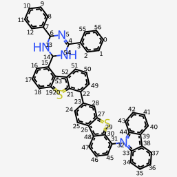 c1ccc(C2=NC(c3ccccc3)NC(c3cccc4sc5c(-c6ccc7c(c6)sc6c(-n8c9ccccc9c9ccccc98)cccc67)cccc5c34)N2)cc1